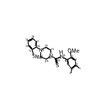 COc1cc(C)c(C)cc1NC(=S)N1CCN(c2ccccc2SC)CC1